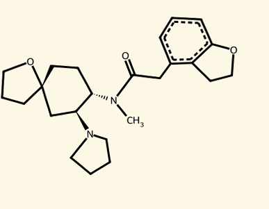 CN(C(=O)Cc1cccc2c1CCO2)[C@H]1CC[C@]2(CCCO2)C[C@@H]1N1CCCC1